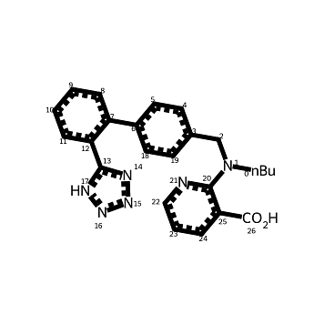 CCCCN(Cc1ccc(-c2ccccc2-c2nnn[nH]2)cc1)c1ncccc1C(=O)O